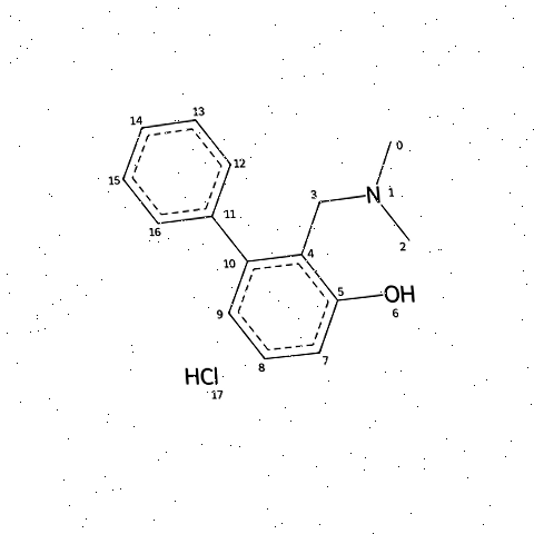 CN(C)Cc1c(O)cccc1-c1ccccc1.Cl